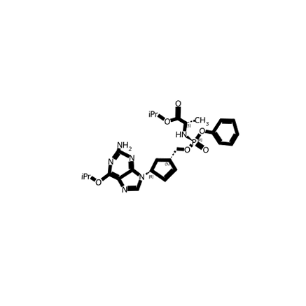 CC(C)OC(=O)[C@H](C)N[P@@](=O)(OC[C@@H]1C=C[C@H](n2cnc3c(OC(C)C)nc(N)nc32)C1)Oc1ccccc1